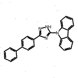 c1ccc(-c2ccc(-c3n[nH]c(-n4c5ccccc5c5ccccc54)n3)cc2)cc1